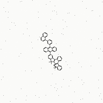 CC1(C)c2ccc(-c3c4ccccc4c(-c4cccc(-c5cccc6ccccc56)c4)c4ccccc34)cc2-c2c1c1sc3ccccc3c1c1ccccc21